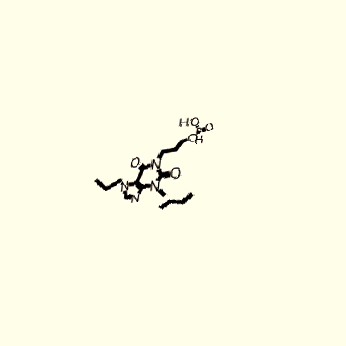 CCCC.CCCn1cnc2c1c(=O)n(CCCO[PH](=O)O)c(=O)n2C